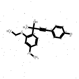 CCOc1cc(OC)ccc1C(C)(O)C#Cc1ccc(Cl)cc1